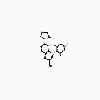 NC(=O)c1cn(-c2c(F)cc(F)cc2Cl)c2nc(N3CC(O)CC3=O)ccc2c1=O